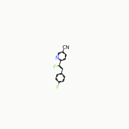 N#Cc1ccc(/C(F)=C/c2ccc(F)cc2)nc1